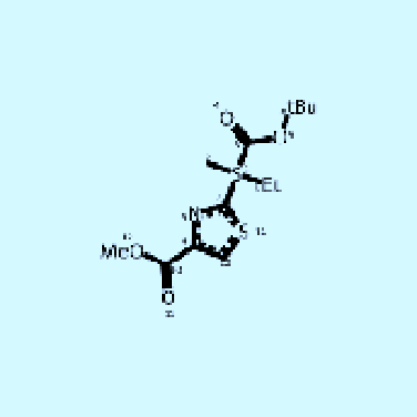 CCS(C)(C(=O)OC(C)(C)C)c1nc(C(=O)OC)cs1